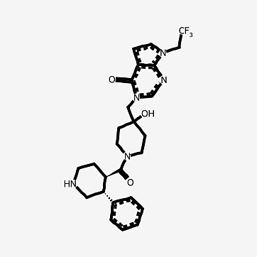 O=C([C@@H]1CCNC[C@H]1c1ccccc1)N1CCC(O)(Cn2cnc3c(ccn3CC(F)(F)F)c2=O)CC1